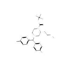 COCC[C@H]1CN(C(c2ccc(Cl)cc2)c2ccc(Cl)cc2)CCN1C(=O)OC(C)(C)C